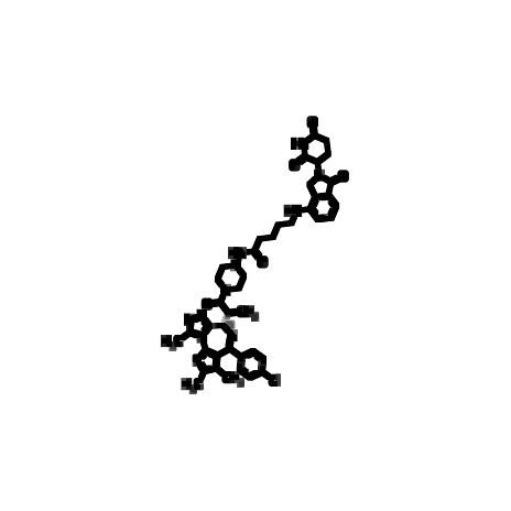 C=C(C(=O)N1CCN(NC(=O)CCCCNc2cccc3c2CN(C2CCC(=O)NC2=O)C3=O)CC1)[C@@H]1N=C(c2ccc(Cl)cc2)c2c(sc(C)c2C)-n2c(C)nnc21